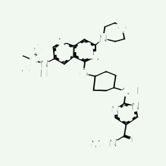 CNC(=O)c1cnc(NC2CCC(Oc3nc(N4CCOCC4)cc4ncc(NS(C)(=O)=O)cc34)CC2)nc1